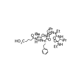 CCNC(=O)C(NC(=O)[C@H](CC)NC[C@H](CC(C)C)NC(=O)[C@H](CCc1ccccc1)NC(=O)[C@@H](NC(=O)CCCC(=O)O)[C@@H](C)CC)C(C)C